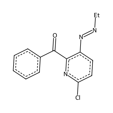 CCN=Nc1ccc(Cl)nc1C(=O)c1ccccc1